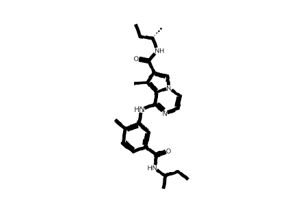 CCC(C)NC(=O)c1ccc(C)c(Nc2nccn3cc(C(=O)N[C@@H](C)CC)c(C)c23)c1